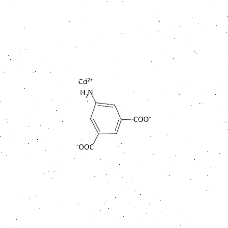 Nc1cc(C(=O)[O-])cc(C(=O)[O-])c1.[Cd+2]